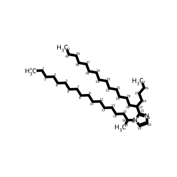 CCCCCCCCCCCCCCCCC(C)n1ccnc1C(CCCC)CCCCCCCCCCCCCC